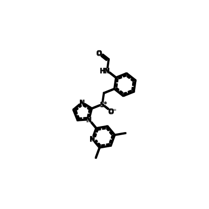 Cc1cc(C)nc(-n2ccnc2[S+]([O-])Cc2ccccc2NC=O)c1